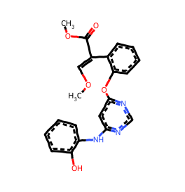 CO/C=C(/C(=O)OC)c1ccccc1Oc1cc(Nc2ccccc2O)ncn1